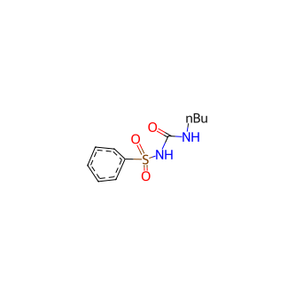 CCCCNC(=O)NS(=O)(=O)c1ccccc1